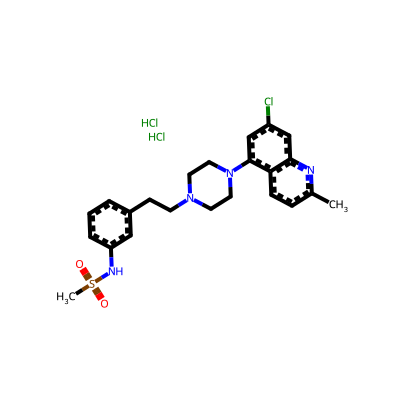 Cc1ccc2c(N3CCN(CCc4cccc(NS(C)(=O)=O)c4)CC3)cc(Cl)cc2n1.Cl.Cl